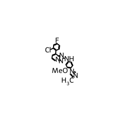 COc1cc(Nc2nc3c(-c4ccc(F)cc4Cl)cccn3n2)ccc1-n1cnc(C)c1